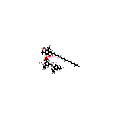 CCCCCCCCCCCCCCCCCCc1c(C(=O)O)cc(C(C)(C)C)c(O)c1C(C)(C)C.Cc1cc(C(C)(C)C)cc(C(C)(C)C)c1OC(=O)c1cc(C(C)(C)C)c(O)c(C(C)(C)C)c1